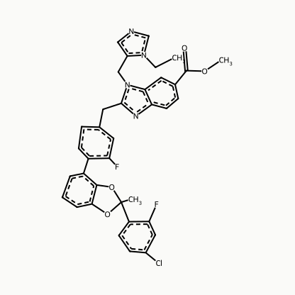 CCn1cncc1Cn1c(Cc2ccc(-c3cccc4c3OC(C)(c3ccc(Cl)cc3F)O4)c(F)c2)nc2ccc(C(=O)OC)cc21